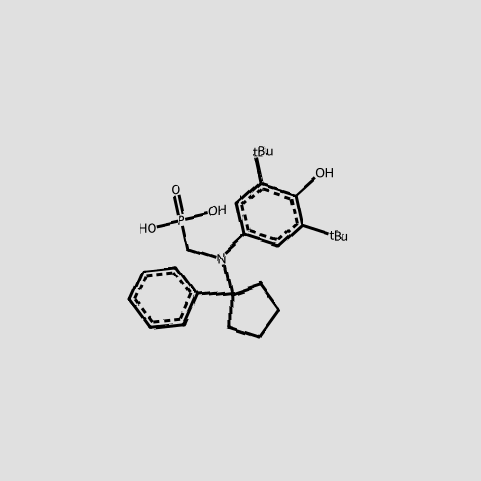 CC(C)(C)c1cc(N(CP(=O)(O)O)C2(c3ccccc3)CCCC2)cc(C(C)(C)C)c1O